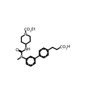 CCOC(=O)N1CCC(NC(=O)N(C)c2cccc(-c3ccc(CCC(=O)O)cc3)c2)CC1